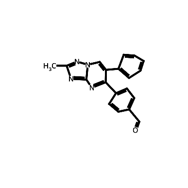 Cc1nc2nc(-c3ccc(C=O)cc3)c(-c3ccccc3)cn2n1